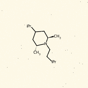 CC(C)CCN1[C@H](C)CC(C(C)C)C[C@H]1C